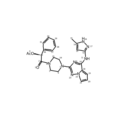 CC(=O)O[C@H](C(=O)N1CCN(c2nc(Nc3cc(C)[nH]n3)c3cccn3n2)CC1)c1ccccc1